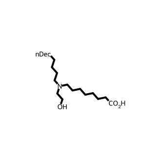 CCCCCCCCCCCCCCN(CCO)CCCCCCCC(=O)O